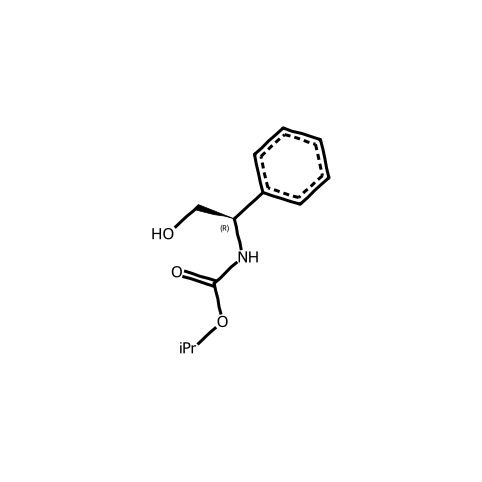 CC(C)OC(=O)N[C@@H](CO)c1ccccc1